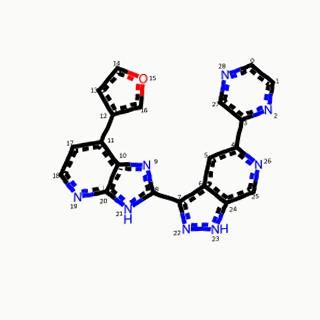 c1cnc(-c2cc3c(-c4nc5c(-c6ccoc6)ccnc5[nH]4)n[nH]c3cn2)cn1